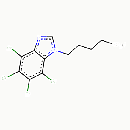 O=C(O)CCCCn1cnc2c(Br)c(Br)c(Br)c(Br)c21